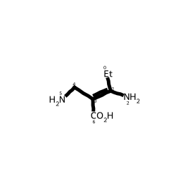 CCC(N)=C(CN)C(=O)O